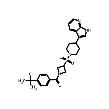 CC(C)(C)c1ccc(C(=O)N2CC(S(=O)(=O)N3CCC(c4c[nH]c5ncccc45)CC3)C2)cc1